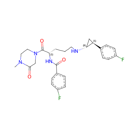 CN1CCN(C(=O)[C@H](CCCN[C@@H]2C[C@H]2c2ccc(F)cc2)NC(=O)c2ccc(F)cc2)CC1=O